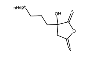 CCCCCCCCCCC1(O)CC(=S)OC1=S